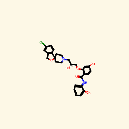 O=C(Nc1ccccc1O)c1ccc(O)cc1OC[C@H](O)CN1CCC2(CC1)OCc1cc(Cl)ccc12